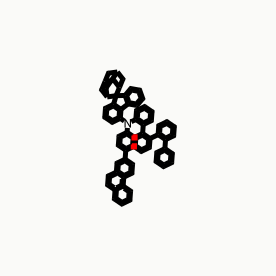 c1ccc(-c2ccccc2-c2ccccc2-c2ccccc2N(c2ccc(-c3ccc4c(ccc5ccccc54)c3)cc2)c2cccc3c2-c2ccccc2C32C3CC4CC(C3)CC2C4)cc1